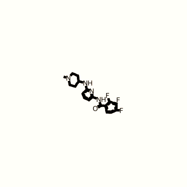 CN1CCC(Nc2cccc(NC(=O)c3ccc(F)c(F)c3F)n2)CC1